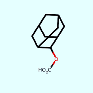 O=C(O)OC1C2CC3CC(C2)CC1C3